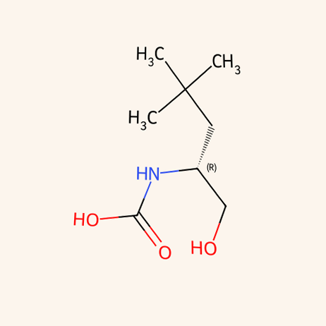 CC(C)(C)C[C@H](CO)NC(=O)O